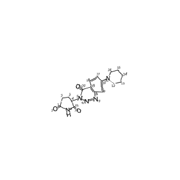 O=C1CCC(n2nnc3cc(N4CCCCC4)ccc3c2=O)C(=O)N1